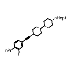 CCCCCCC[C@H]1CC[C@H]([C@H]2CC[C@H](C#Cc3ccc(CCC)c(F)c3)CC2)CC1